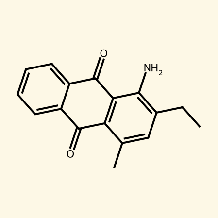 CCc1cc(C)c2c(c1N)C(=O)c1ccccc1C2=O